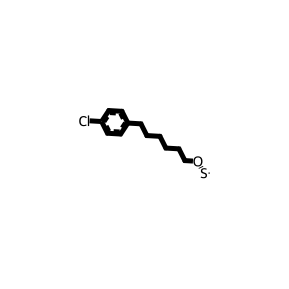 [S]OCCCCCCc1ccc(Cl)cc1